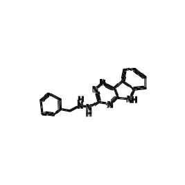 c1ccc(CNNc2nnc3c(n2)[nH]c2ccccc23)cc1